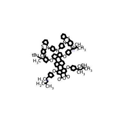 C=C(C)/C=C(\C)c1ccc(Oc2cc(N(c3ccc(N4c5ccccc5Sc5ccccc54)cc3)c3ccc(N4c5ccccc5Sc5ccccc54)cc3)c3ccc(Oc4ccc(C(C)(C)CC(C)(C)C)cc4)c4c5ccc6c7c(Oc8ccc(/C(C)=C/C(=C)C)cc8)cc8c9c(cc(Oc%10ccc(C(C)(C)CC(=C)C)cc%10)c(c%10ccc(c2c34)c5c6%10)c97)C(=O)OC8=O)cc1